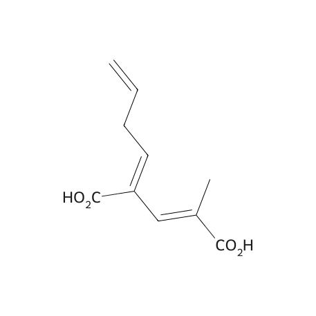 C=CCC=C(C=C(C)C(=O)O)C(=O)O